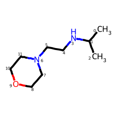 CC(C)NCCN1CCOCC1